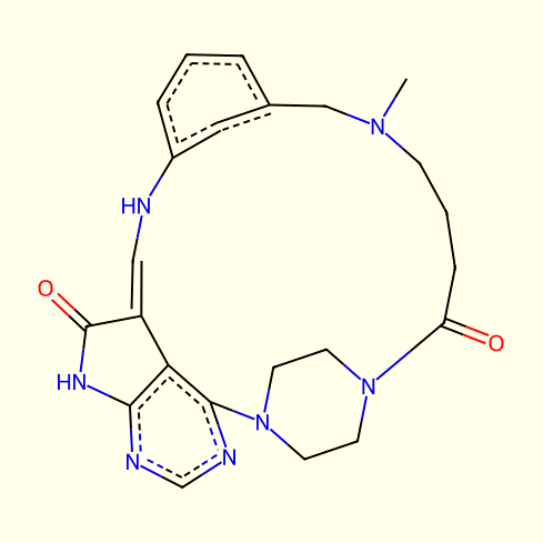 CN1CCCC(=O)N2CCN(CC2)c2ncnc3c2/C(=C\Nc2cccc(c2)C1)C(=O)N3